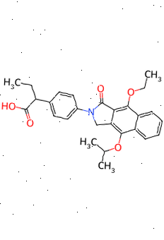 CCOc1c2c(c(OC(C)C)c3ccccc13)CN(c1ccc(C(CC)C(=O)O)cc1)C2=O